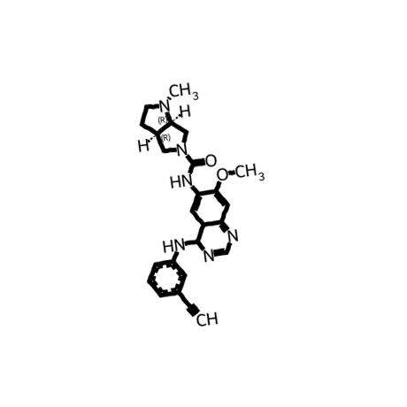 C#Cc1cccc(NC2N=CN=C3C=C(OC)C(NC(=O)N4C[C@H]5CCN(C)[C@H]5C4)=CC32)c1